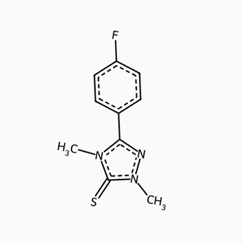 Cn1nc(-c2ccc(F)cc2)n(C)c1=S